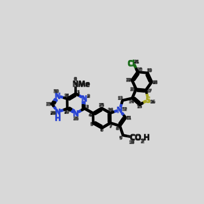 CNc1nc(-c2ccc3c(CC(=O)O)cn(Cc4csc5ccc(Cl)cc45)c3c2)nc2[nH]cnc12